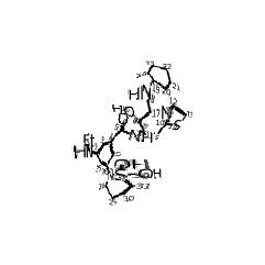 CCNc1cc(C(=O)N[C@@H](Cc2nccs2)[C@H](O)CNC2CCCCC2)cc(N2CCCCS2(O)O)c1